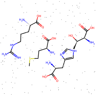 CSCC[C@H](N)C(=O)O.C[C@@H](O)[C@H](N)C(=O)O.N=C(N)NCCC[C@H](N)C(=O)O.N[C@@H](Cc1c[nH]cn1)C(=O)O